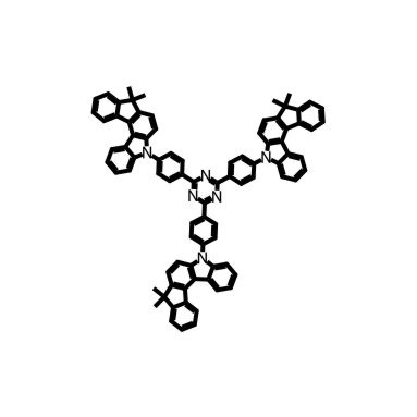 CC1(C)c2ccccc2-c2c1ccc1c2c2ccccc2n1-c1ccc(-c2nc(-c3ccc(-n4c5ccccc5c5c6c(ccc54)C(C)(C)c4ccccc4-6)cc3)nc(-c3ccc(-n4c5ccccc5c5c6c(ccc54)C(C)(C)c4ccccc4-6)cc3)n2)cc1